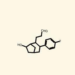 O=CCCC1C(c2ccc(F)cc2)CC2CC(O)C1C2